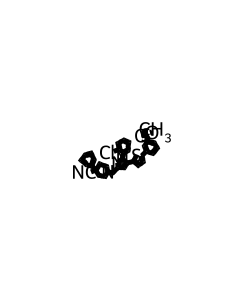 CS(=O)(=O)c1cccc(-c2ccc(-c3cc(CN4CCC(C#N)(c5ccccc5)CC4)nn3-c3ccccc3Cl)s2)c1